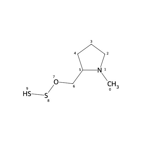 CN1CCCC1COSS